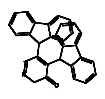 O=C1CN=[C]C(C2c3ccccc3-c3ccccc32)=C1C1c2ccccc2-c2ccccc21